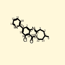 CC1CCc2nc3cc(-c4ccccn4)cc(Cl)c3c(=O)n2CC1